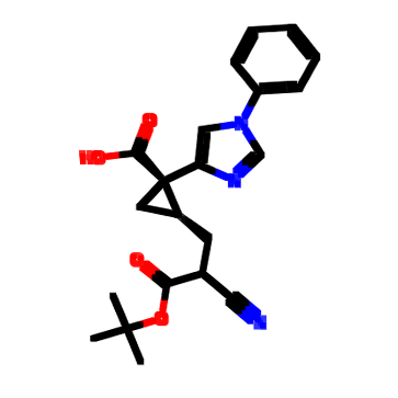 CC(C)(C)OC(=O)C(C#N)C[C@H]1C[C@]1(C(=O)O)c1cn(-c2ccccc2)cn1